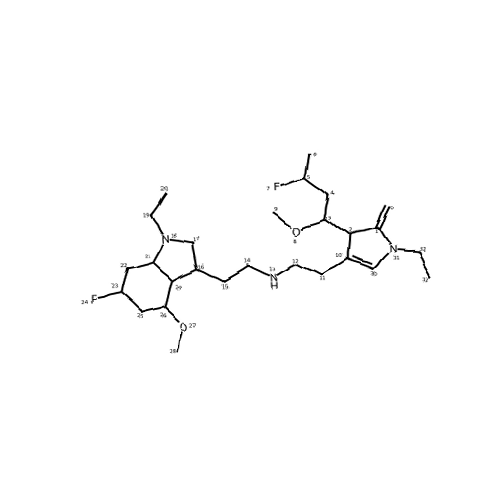 C=C1C(C(CC(C)F)OC)C(CCNCCC2CN(CC)C3CC(F)CC(OC)C23)=CN1CC